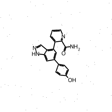 NC(=O)c1ncccc1-c1cc(-c2ccc(O)cc2)cc2[nH]ncc12